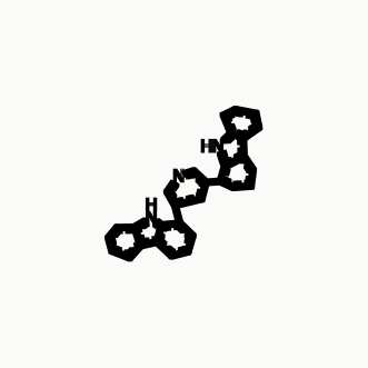 c1ccc2c(c1)[nH]c1c(-c3cncc(-c4cccc5c4[nH]c4ccccc45)c3)cccc12